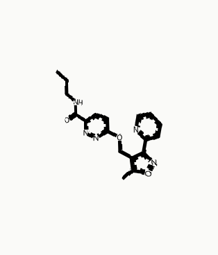 CCCNC(=O)c1ccc(OCc2c(-c3ccccn3)noc2C)nn1